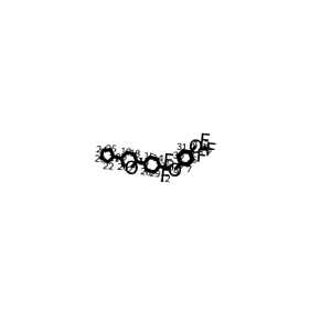 FC(F)(F)Oc1ccc(OC(F)(F)C2CCC(C3CCC(C4CCCC4)CO3)CC2)cc1